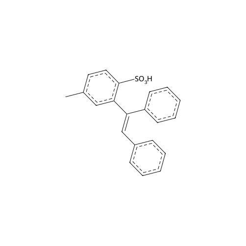 Cc1ccc(S(=O)(=O)O)c(C(=Cc2ccccc2)c2ccccc2)c1